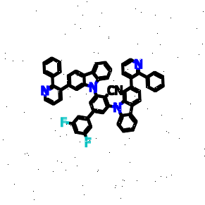 N#Cc1c(-n2c3ccccc3c3ccc(-c4cccnc4-c4ccccc4)cc32)cc(-c2cc(F)cc(F)c2)cc1-n1c2ccccc2c2ccc(-c3cccnc3-c3ccccc3)cc21